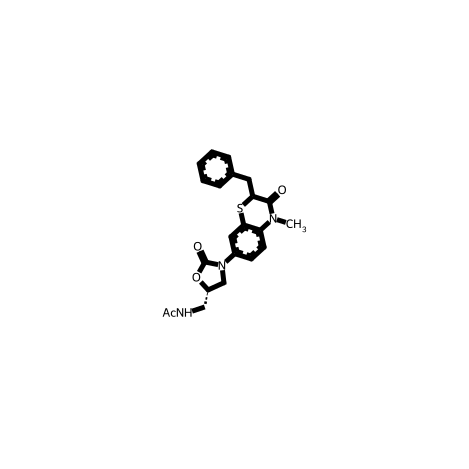 CC(=O)NC[C@H]1CN(c2ccc3c(c2)SC(Cc2ccccc2)C(=O)N3C)C(=O)O1